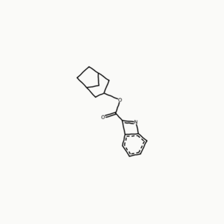 O=C(OC1CC2CCC(C2)C1)C1=Nc2ccccc21